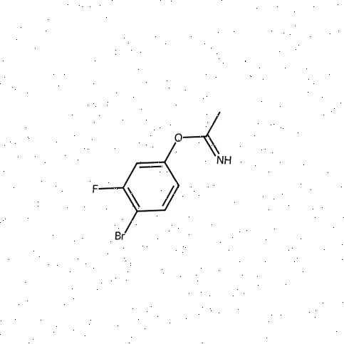 CC(=N)Oc1ccc(Br)c(F)c1